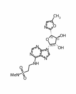 CNS(=O)(=O)CCNc1ncnc2c1ncn2[C@@H]1O[C@H](c2ncc(C)o2)[C@@H](O)[C@@H]1O